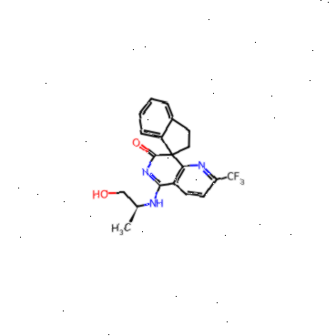 C[C@@H](CO)NC1=NC(=O)C2(CCc3ccccc32)c2nc(C(F)(F)F)ccc21